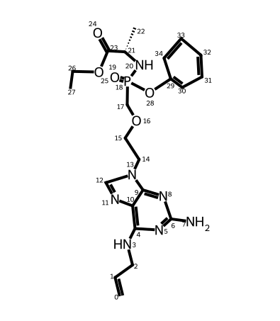 C=CCNc1nc(N)nc2c1ncn2CCOCP(=O)(N[C@@H](C)C(=O)OCC)Oc1ccccc1